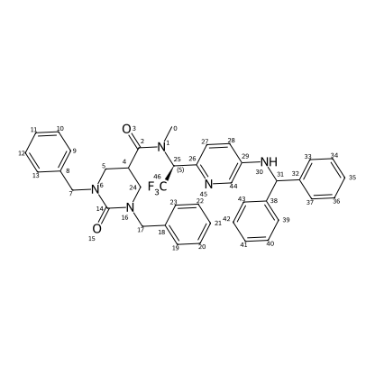 CN(C(=O)C1CN(Cc2ccccc2)C(=O)N(Cc2ccccc2)C1)[C@@H](c1ccc(NC(c2ccccc2)c2ccccc2)cn1)C(F)(F)F